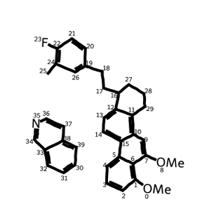 COc1cccc2c1c(OC)cc1c3c(ccc12)C(CCc1ccc(F)c(C)c1)CCC3.c1ccc2cnccc2c1